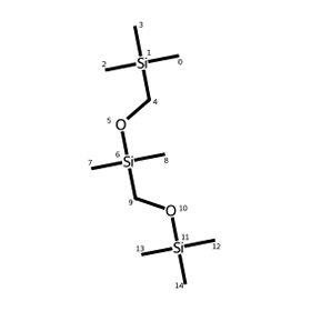 C[Si](C)(C)CO[Si](C)(C)CO[Si](C)(C)C